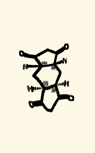 O=C1CC(=O)[C@@H]2C[C@H]3C(=O)CC(=O)[C@H]3C[C@H]12